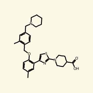 Cc1ccc(OCc2ccc(CN3CCCCC3)cc2C)c(-c2csc(N3CCC(C(=O)O)CC3)n2)c1